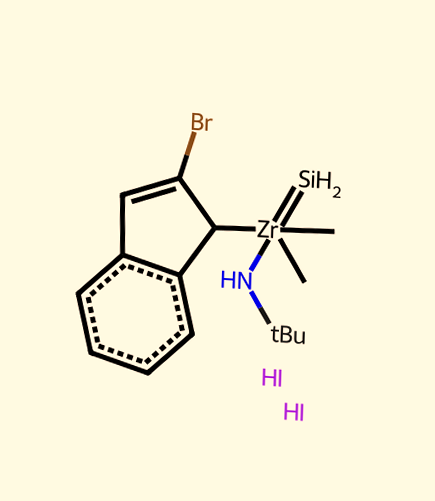 CC(C)(C)[NH][Zr]([CH3])([CH3])(=[SiH2])[CH]1C(Br)=Cc2ccccc21.I.I